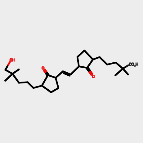 CC(C)(CO)CCCC1CCC(/C=C/C2CCC(CCCC(C)(C)C(=O)O)C2=O)C1=O